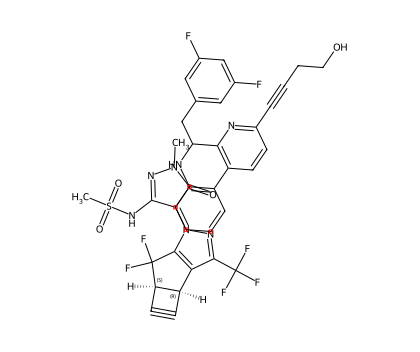 Cn1nc(NS(C)(=O)=O)c2cccc(-c3ccc(C#CCCO)nc3C(Cc3cc(F)cc(F)c3)NC(=O)Cn3nc(C(F)(F)F)c4c3C(F)(F)[C@@H]3C#C[C@H]43)c21